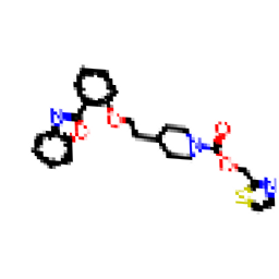 O=C(OCc1nccs1)N1CCC(CCOc2ccccc2-c2nc3ccccc3o2)CC1